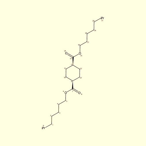 CC(C)CCCCCOC(=O)[C@H]1CC[C@@H](C(=O)OCCCCCC(C)C)CC1